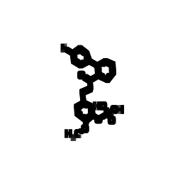 COc1ccc(/C=C/C(=O)c2ccccc2-c2ccc(F)cc2)cc1OP(=O)(O)O